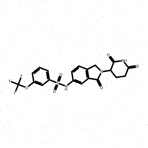 O=C1CCC(N2Cc3ccc(NS(=O)(=O)c4cccc(OC(F)(F)F)c4)cc3C2=O)C(=O)N1